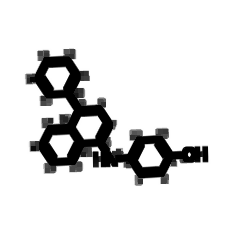 Oc1ccc(Nc2ccc(-c3ccccc3)c3ccccc23)cc1